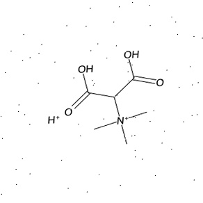 C[N+](C)(C)C(C(=O)O)C(=O)O.[H+]